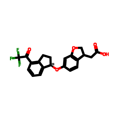 O=C(O)CC1COc2cc(O[C@@H]3CCc4c(C(=O)C(F)(F)F)cccc43)ccc21